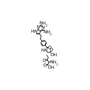 Nc1nc(N)c2c(CCc3ccc(C(=O)N[C@@H](CCC(=O)C(N)C(=O)O)C(=O)O)cc3)c[nH]c2n1